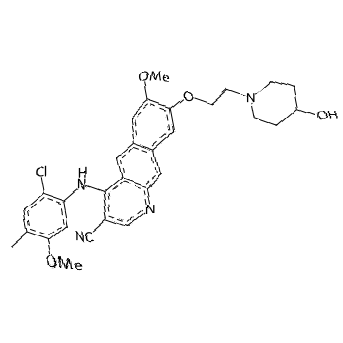 COc1cc(Nc2c(C#N)cnc3cc4cc(OCCN5CCC(O)CC5)c(OC)cc4cc23)c(Cl)cc1C